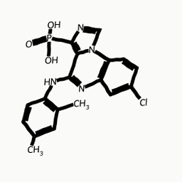 Cc1ccc(Nc2nc3cc(Cl)ccc3n3cnc(P(=O)(O)O)c23)c(C)c1